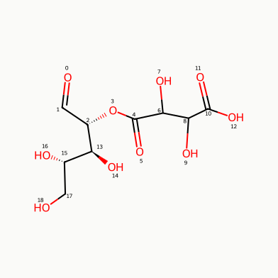 O=C[C@H](OC(=O)C(O)C(O)C(=O)O)[C@@H](O)[C@@H](O)CO